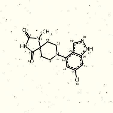 CN1C(=O)NC(=O)C12CCN(c1cc(Cl)cc3[nH]ncc13)CC2